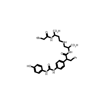 CC(C)CC(C(=O)NC(CNCCC(NC(=O)CC(C)(C)C)C(=O)O)C(=O)O)c1ccc(NC(=O)Nc2ccc(O)cc2)cc1